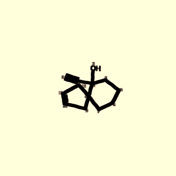 C#CC1(O)CCCCC12CC=CC2